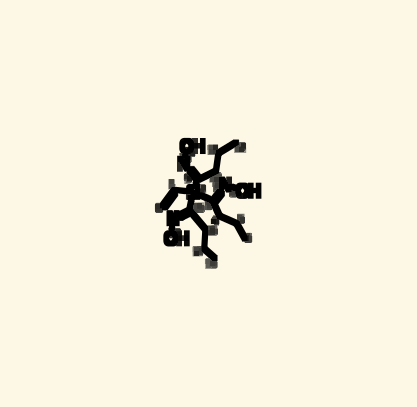 C=C[Si](C(CCC)=NO)(C(CCC)=NO)C(CCC)=NO